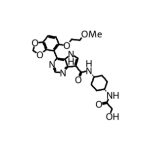 COCCOc1ccc2c(c1-c1ncnc3c(C(=O)N[C@H]4CC[C@@H](NC(=O)CO)CC4)c[nH]c13)OCO2